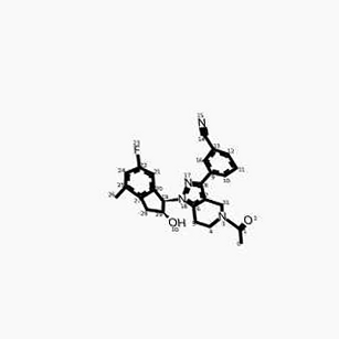 CC(=O)N1CCc2c(c(-c3cccc(C#N)c3)nn2[C@@H]2c3cc(F)cc(C)c3C[C@@H]2O)C1